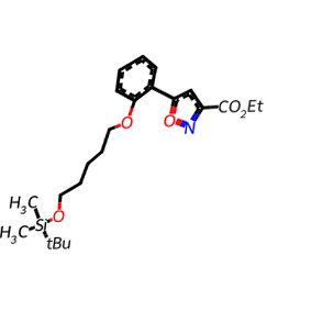 CCOC(=O)c1cc(-c2ccccc2OCCCCCO[Si](C)(C)C(C)(C)C)on1